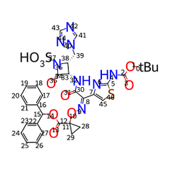 CC(C)(C)OC(=O)Nc1nc(/C(=N/OC2(C(=O)OC(c3ccccc3)c3ccccc3)CC2)C(=O)N[C@@H]2C(=O)N(S(=O)(=O)O)[C@@H]2Cn2cncn2)cs1